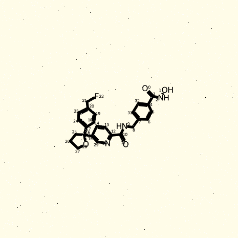 O=C(NO)c1ccc(CNC(=O)c2ccc(C3(c4ccc(CF)cc4)CCCO3)cn2)cc1